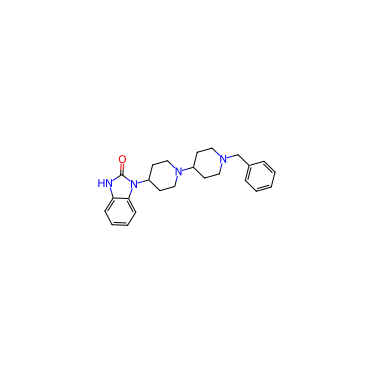 O=c1[nH]c2ccccc2n1C1CCN(C2CCN(Cc3ccccc3)CC2)CC1